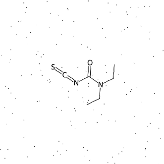 CCN(CC)C(=O)N=C=S